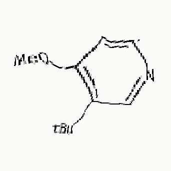 COc1c[c]ncc1C(C)(C)C